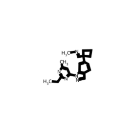 CCc1nc(C)cc(-n2ncc3ccc(C4(C=NC)CCC4)cc32)n1